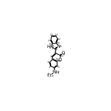 CCNc1ccc2cc(-c3nc4ccccc4[nH]3)c(=O)oc2c1